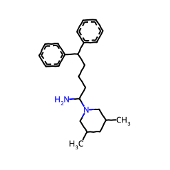 CC1CC(C)CN(C(N)CCCC(c2ccccc2)c2ccccc2)C1